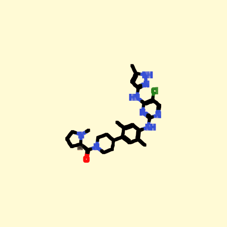 Cc1cc(Nc2nc(Nc3cc(C)c(C4CCN(C(=O)[C@H]5CCCN5C)CC4)cc3C)ncc2Cl)n[nH]1